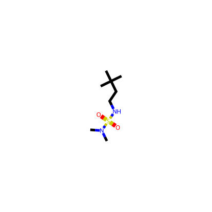 CN(C)S(=O)(=O)NCCC(C)(C)C